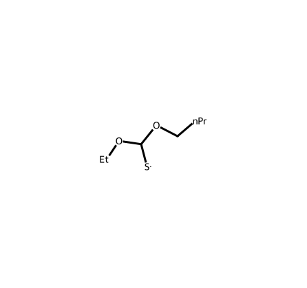 CCCCOC([S])OCC